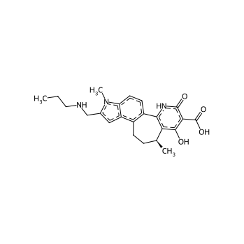 CCCNCc1cc2c3c(ccc2n1C)-c1[nH]c(=O)c(C(=O)O)c(O)c1[C@@H](C)CC3